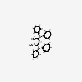 CN/C(=N\C(=N)N(c1ccccc1)c1ccccc1)N(c1ccccc1)c1ccccc1